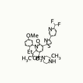 CCc1ccc(OC)cc1-n1c(C=C(C)C)c(C(=O)N2CCN[C@@H](C)C2)cc(-c2nc(-c3ccc(C(F)F)nc3)cs2)c1=O